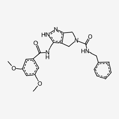 COc1cc(OC)cc(C(=O)Nc2[nH]nc3c2CN(C(=O)NCc2ccccc2)C3)c1